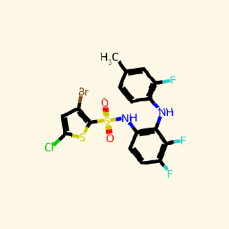 Cc1ccc(Nc2c(NS(=O)(=O)c3sc(Cl)cc3Br)ccc(F)c2F)c(F)c1